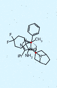 Cc1nnc(C(C)C)n1C1CC2CCC(C1)N2CC[C@@H](c1ccccc1)C1(C(N)=O)CCC(F)(F)CC1